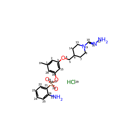 Cc1cc(OCC2CCN(C=NN)CC2)cc(OS(=O)(=O)c2ccccc2N)c1.Cl